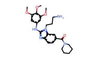 COc1cc(Nc2nc3ccc(C(=O)N4CCCCC4)cc3n2CCCN)cc(OC)c1OC